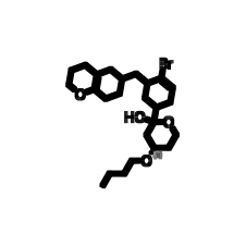 CCCCO[C@H]1CCOC(O)(C2CC=C(Br)C(CC3CCC4=C(CCCO4)C3)C2)C1